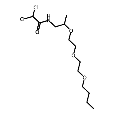 CCCCOCCOCCOC(C)CNC(=O)C(Cl)Cl